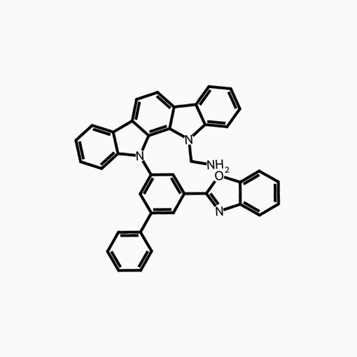 NCn1c2ccccc2c2ccc3c4ccccc4n(-c4cc(-c5ccccc5)cc(-c5nc6ccccc6o5)c4)c3c21